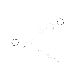 O=C(Cc1ccccc1F)N1CC(CNC[C@H](O)[C@@H](O)[C@H](O)[C@H](O)CO)C1OCCC1CC(C2CCN(c3ncc(Cl)cn3)CC2)C1